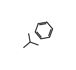 CC(C)C.[c]1ccccc1